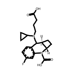 O=C(O)CCCN(C1CC1)C1c2ccc(F)cc2N(C(=O)O)[C@H]2CC[C@H]12